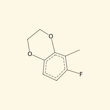 Cc1c(F)ccc2c1OCCO2